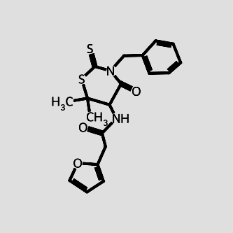 CC1(C)SC(=S)N(Cc2ccccc2)C(=O)C1NC(=O)Cc1ccco1